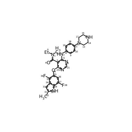 CCN(C)C(=O)c1c(Nc2ccc(N3CCNCC3)cc2)ncnc1Oc1cc(F)c2[nH]c(C)cc2c1F